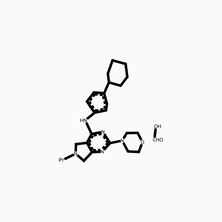 CC(C)N1Cc2nc(N3CCOCC3)nc(Nc3ccc(C4CCCCC4)cc3)c2C1.O=CO